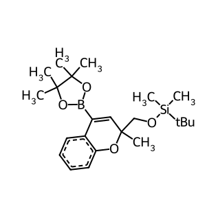 CC1(CO[Si](C)(C)C(C)(C)C)C=C(B2OC(C)(C)C(C)(C)O2)c2ccccc2O1